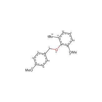 COc1ccc(COc2c(OC)cccc2C(C)(C)C)cc1